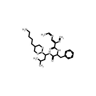 C=N/C(=C\N=C/C)C(=O)NC(Cc1ccccc1)C(=O)NC(CC(C)C)B1OCC(CCCCN)CO1